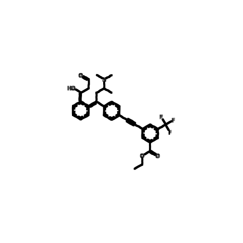 CCOC(=O)c1cc(C#Cc2ccc(/C(CC(C)N(C)C)=c3\cccc\c3=C(/O)CC=O)cc2)cc(C(F)(F)F)c1